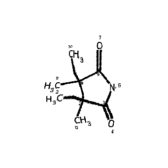 CC1(C)C(=O)[N]C(=O)C1(C)C